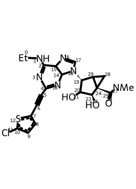 CCNC1=NC(C#Cc2ccc(Cl)s2)=NC2C1N=CN2[C@H]1C(O)[C@H](O)[C@@]2(C(=O)NC)CC12